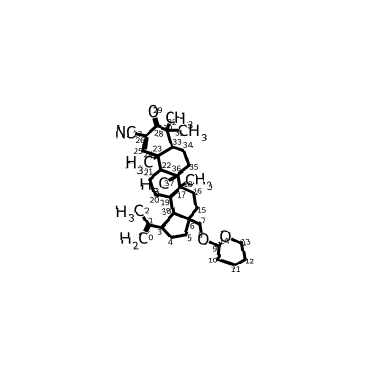 C=C(C)C1CCC2(COC3CCCCO3)CCC3(C)C(CCC4C5(C)C=C(C#N)C(=O)C(C)(C)C5CCC43C)C12